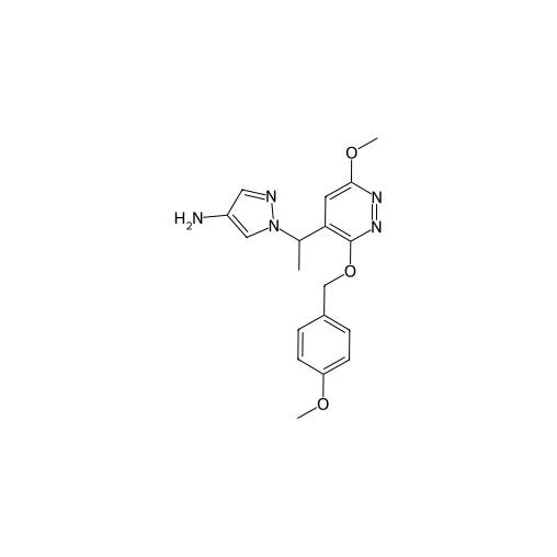 COc1ccc(COc2nnc(OC)cc2C(C)n2cc(N)cn2)cc1